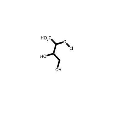 O=C(O)C(OCl)C(O)CO